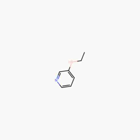 CCBc1cccnc1